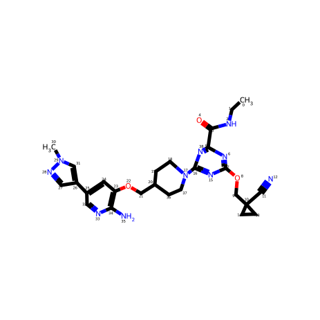 CCNC(=O)c1nc(OCC2(C#N)CC2)nc(N2CCC(COc3cc(-c4cnn(C)c4)cnc3N)CC2)n1